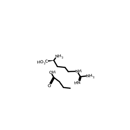 CCCC(=O)O.N=C(N)NCCC[C@H](N)C(=O)O